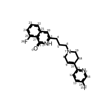 O=c1[nH]c(CCCN2CC=C(c3ccc(F)cn3)CC2)cc2cccc(F)c12